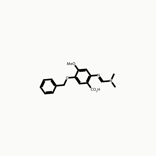 COc1cc(N=CN(C)C)c(C(=O)O)cc1OCc1ccccc1